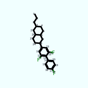 CCCC1CCC2CC(c3cc(F)c(-c4ccc(F)cc4)c(F)c3)CCC2C1